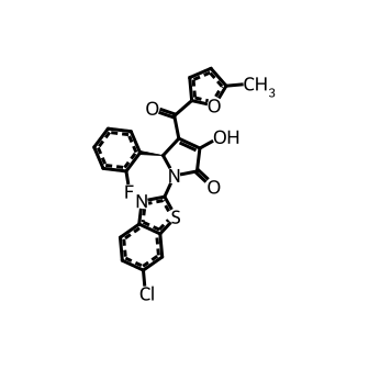 Cc1ccc(C(=O)C2=C(O)C(=O)N(c3nc4ccc(Cl)cc4s3)[C@H]2c2ccccc2F)o1